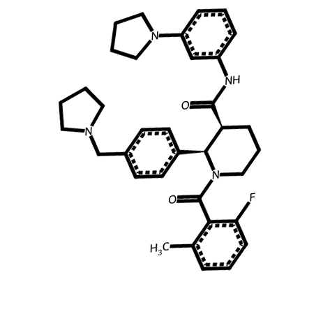 Cc1cccc(F)c1C(=O)N1CCC[C@H](C(=O)Nc2cccc(N3CCCC3)c2)[C@@H]1c1ccc(CN2CCCC2)cc1